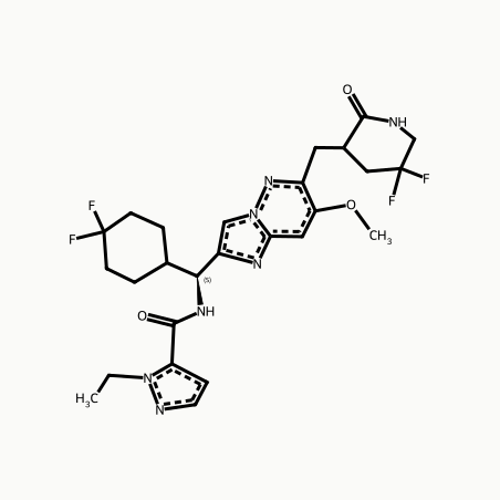 CCn1nccc1C(=O)N[C@H](c1cn2nc(CC3CC(F)(F)CNC3=O)c(OC)cc2n1)C1CCC(F)(F)CC1